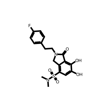 CN(C)S(=O)(=O)c1cc(O)c(O)c2c1CN(CCc1ccc(F)cc1)C2=O